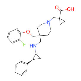 O=C(O)C1(CN2CCC(CN[C@@H]3C[C@H]3c3ccccc3)(COc3ccccc3F)CC2)CC1